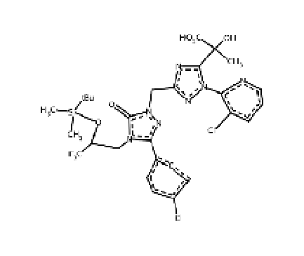 CC(O)(C(=O)O)c1nc(Cn2nc(-c3ccc(Cl)cc3)n(CC(O[Si](C)(C)C(C)(C)C)C(F)(F)F)c2=O)nn1-c1ncccc1Cl